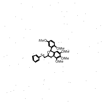 COc1ccc(OC)c(C2OC(C[Se]c3ccccc3)Cc3c2cc(OC)c(OC)c3OC)c1